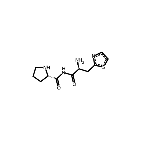 N[C@@H](Cc1nccs1)C(=O)NC(=O)[C@@H]1CCCN1